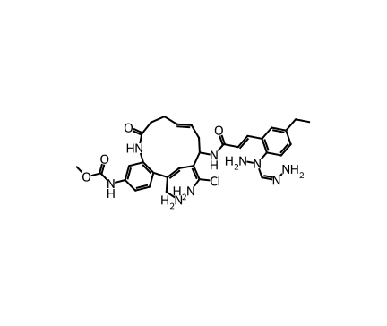 CCc1ccc(N(N)/C=N\N)c(/C=C/C(=O)NC2C/C=C/CCC(=O)Nc3cc(NC(=O)OC)ccc3/C(CN)=C/C2=C(\N)Cl)c1